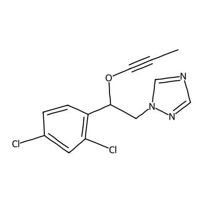 CC#COC(Cn1cncn1)c1ccc(Cl)cc1Cl